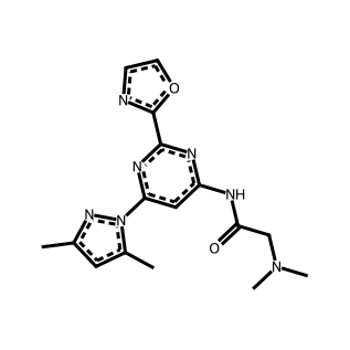 Cc1cc(C)n(-c2cc(NC(=O)CN(C)C)nc(-c3ncco3)n2)n1